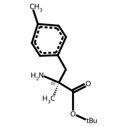 Cc1ccc(C[C@](C)(N)C(=O)OC(C)(C)C)cc1